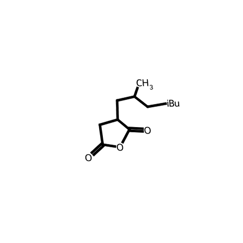 CCC(C)CC(C)CC1CC(=O)OC1=O